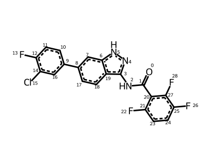 O=C(Nc1n[nH]c2cc(-c3ccc(F)c(Cl)c3)ccc12)c1c(F)ccc(F)c1F